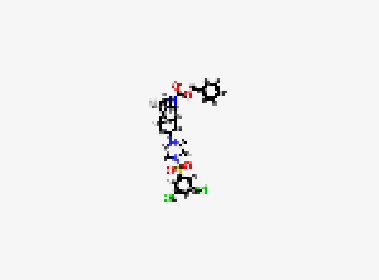 C[C@@H]1C2C3=CC(N4CCN(S(=O)(=O)c5cc(Cl)cc(Cl)c5)CC4)=CC4C3C41CCN2C(=O)OCc1ccccc1